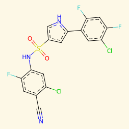 N#Cc1cc(F)c(NS(=O)(=O)c2c[nH]c(-c3cc(Cl)c(F)cc3F)c2)cc1Cl